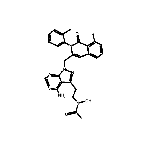 CC(=O)N(O)CCc1nn(Cc2cc3cccc(C)c3c(=O)n2-c2ccccc2C)c2ncnc(N)c12